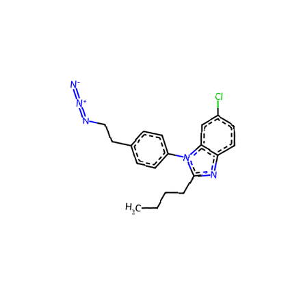 CCCCc1nc2ccc(Cl)cc2n1-c1ccc(CCN=[N+]=[N-])cc1